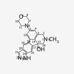 CN1Cc2cc(N3CCOCC3)ccc2C(O)(c2ccc3cn[nH]c3c2)C1